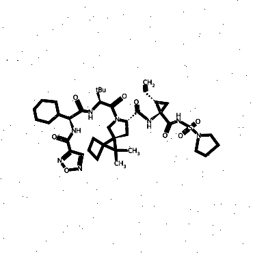 C=C[C@@H]1C[C@]1(NC(=O)[C@@H]1C[C@@]2(CN1C(=O)[C@@H](NC(=O)[C@@H](NC(=O)c1cnon1)C1CCCCC1)C(C)(C)C)C(C)(C)C21CCC1)C(=O)NS(=O)(=O)N1CCCC1